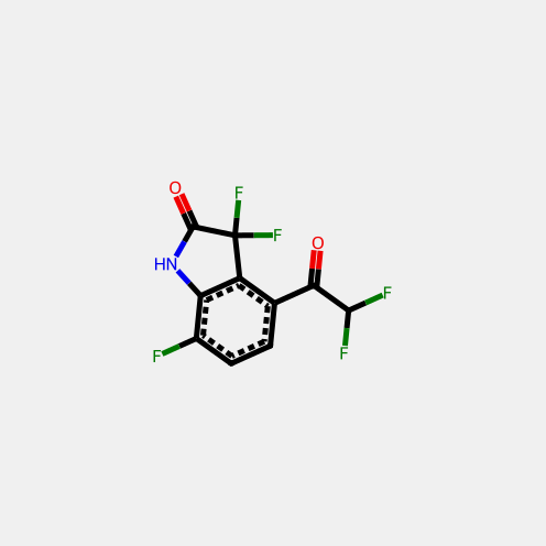 O=C(c1ccc(F)c2c1C(F)(F)C(=O)N2)C(F)F